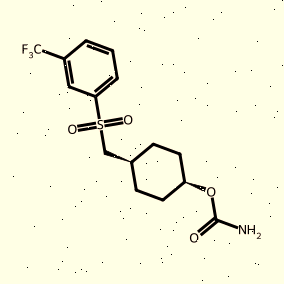 NC(=O)O[C@H]1CC[C@@H](CS(=O)(=O)c2cccc(C(F)(F)F)c2)CC1